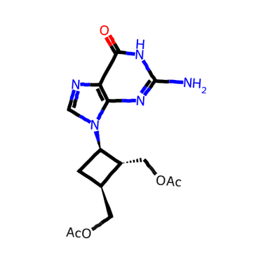 CC(=O)OC[C@H]1C[C@@H](n2cnc3c(=O)[nH]c(N)nc32)[C@@H]1COC(C)=O